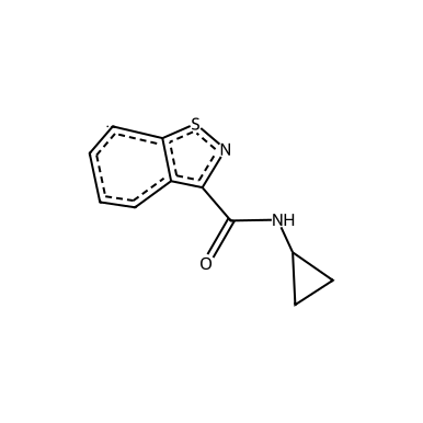 O=C(NC1CC1)c1nsc2[c]cccc12